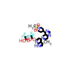 C[C@@H]1Cc2ncnc(C3CCN(S(C)(=O)=O)CC3)c2CN1c1ccnc2[nH]ccc12.O=C(O)C(F)(F)F.O=C(O)C(F)(F)F